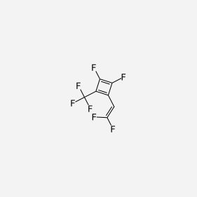 FC(F)=CC1=C(C(F)(F)F)C(F)=C1F